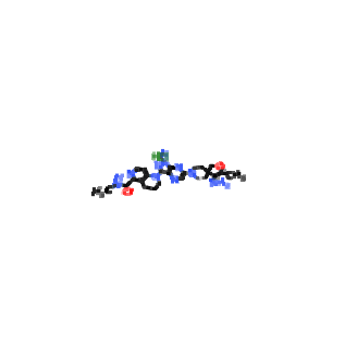 CNC(=O)c1nccc2c1CCCN2c1n[nH]c2nc(N3CCC4(CC3)CO[C@@H](C)[C@H]4N)cnc12.Cl